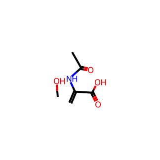 C=C(NC(C)=O)C(=O)O.CO